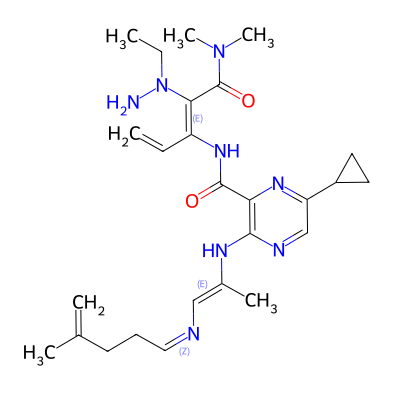 C=C/C(NC(=O)c1nc(C2CC2)cnc1N/C(C)=C/N=C\CCC(=C)C)=C(/C(=O)N(C)C)N(N)CC